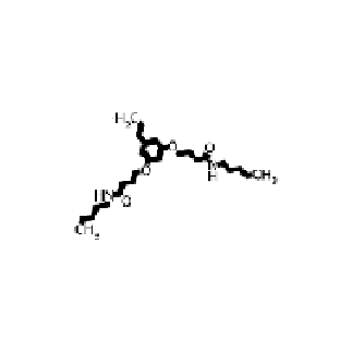 [CH2]CCc1cc(OCCCC(=O)NCCCCC)cc(OCCCC(=O)NCCCCC)c1